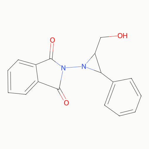 O=C1c2ccccc2C(=O)N1N1C(CO)C1c1ccccc1